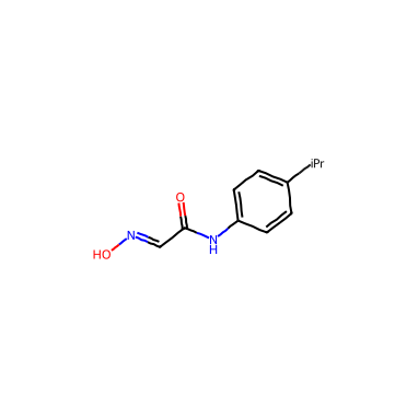 CC(C)c1ccc(NC(=O)C=NO)cc1